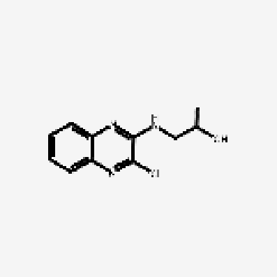 OC(I)CNc1nc2ccccc2nc1Cl